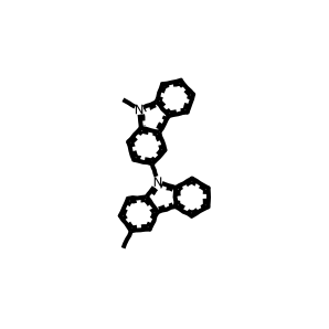 Cc1ccc2c(c1)c1ccccc1n2-c1ccc2c(c1)c1ccccc1n2C